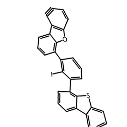 Ic1c(-c2cccc3c2oc2ccc#cc23)cccc1-c1cccc2c1sc1ccccc12